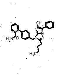 CCCCc1nn2c(-c3ccccc3)c(C)nc2n1Cc1ccc(-c2ccccc2C(N)=O)cc1